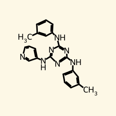 Cc1cccc(Nc2nc(Nc3cccnc3)nc(Nc3cccc(C)c3)n2)c1